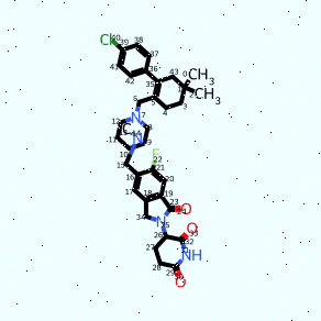 CC1(C)CCC(CN2CC3CCC2CN3Cc2cc3c(cc2F)C(=O)N(C2CCC(=O)NC2=O)C3)=C(c2ccc(Cl)cc2)C1